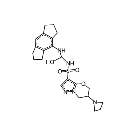 O=S(=O)(NC(O)Nc1c2c(cc3c1CCC3)CCC2)c1cnn2c1OCC(N1CCC1)C2